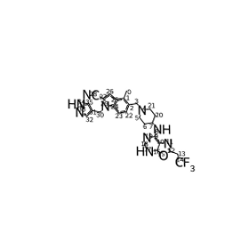 Cc1c(CN2CCC(NC3=C4N=C(CC(F)(F)F)OC4NC=N3)CC2)ccc2c1cc(C#N)n2Cc1cn[nH]c1